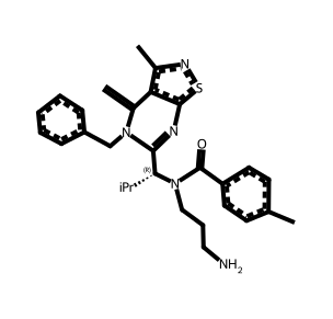 C=C1c2c(C)nsc2N=C([C@@H](C(C)C)N(CCCN)C(=O)c2ccc(C)cc2)N1Cc1ccccc1